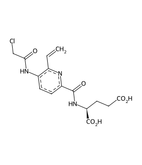 C=Cc1nc(C(=O)N[C@@H](CCC(=O)O)C(=O)O)ccc1NC(=O)CCl